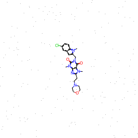 Cn1c(Cn2c(=O)c3c(nc(CCN4CCOCC4)n3C)n(C)c2=O)cc2cc(Cl)ccc21